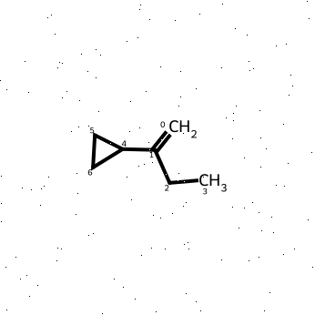 C=C(CC)C1CC1